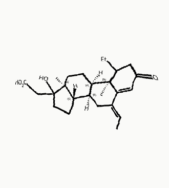 CC=C1C[C@@H]2[C@@H](CC[C@@]3(C)[C@H]2CCC3(O)CC(=O)O)[C@]2(C)C1=CC(=O)CC2CC